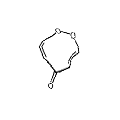 O=C1C=COOC=C1